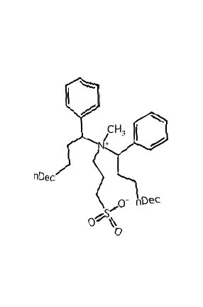 CCCCCCCCCCCCC(c1ccccc1)[N+](C)(CCCS(=O)(=O)[O-])C(CCCCCCCCCCCC)c1ccccc1